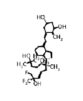 C=C1/C(=C\C=C2CCC[C@@]3(C)C2CC[C@@H]3[C@](C)(C/C=C/C(O)(CF)C(F)(F)F)CCCC(C)(C)O)C[C@@H](O)CC1O